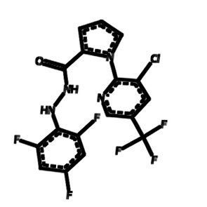 O=C(NNc1c(F)cc(F)cc1F)c1cccn1-c1ncc(C(F)(F)F)cc1Cl